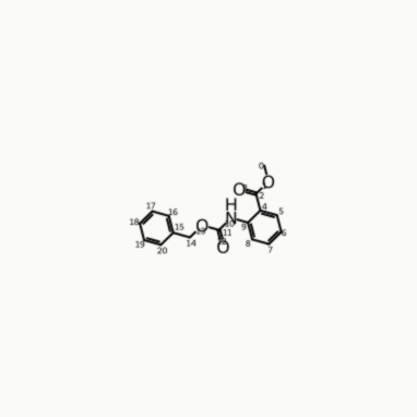 COC(=O)c1ccccc1NC(=O)OCc1ccccc1